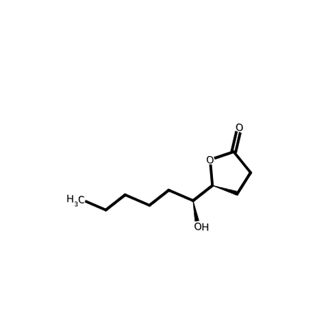 CCCCC[C@H](O)[C@@H]1CCC(=O)O1